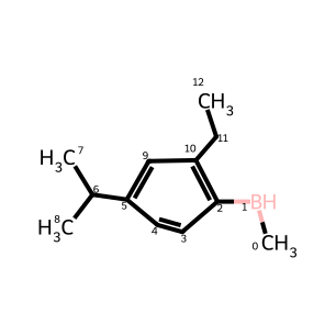 CBc1ccc(C(C)C)cc1CC